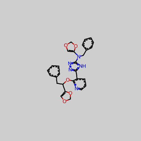 C1=C(C(Cc2ccccc2)Oc2ncccc2-c2nnc(N(Cc3ccccc3)C3=COCO3)[nH]2)OCO1